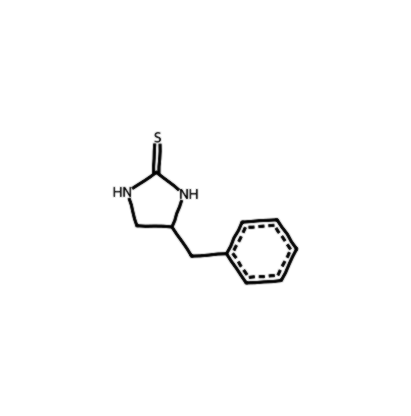 S=C1NCC(Cc2ccccc2)N1